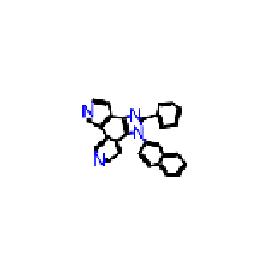 c1ccc(-c2nc3c4ccncc4c4cnccc4c3n2-c2ccc3ccccc3c2)cc1